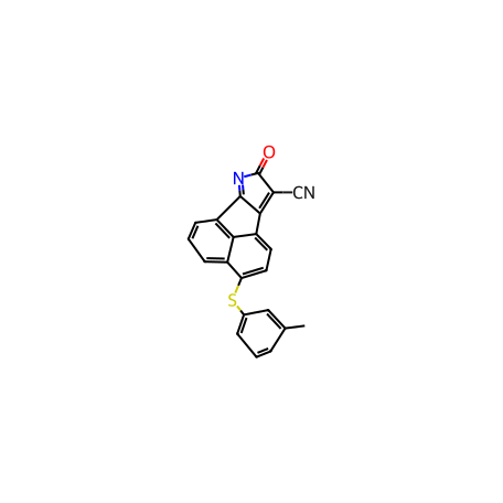 Cc1cccc(Sc2ccc3c4c(cccc24)C2=NC(=O)C(C#N)=C23)c1